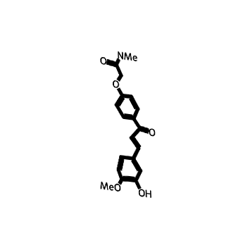 CNC(=O)COc1ccc(C(=O)/C=C/c2ccc(OC)c(O)c2)cc1